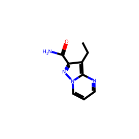 CCc1c(C(N)=O)nn2cccnc12